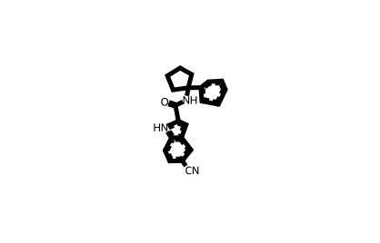 N#Cc1ccc2[nH]c(C(=O)NC3(c4ccccc4)CCCC3)cc2c1